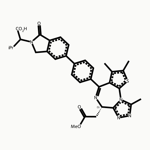 COC(=O)C[C@@H]1N=C(c2ccc(-c3ccc4c(c3)CN(C(C(=O)O)C(C)C)C4=O)cc2)c2c(sc(C)c2C)-n2c(C)nnc21